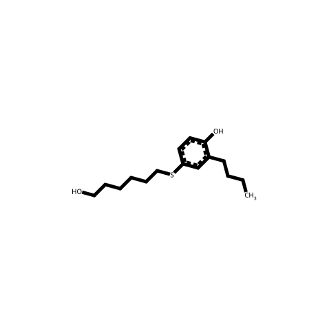 CCCCc1cc(SCCCCCCO)ccc1O